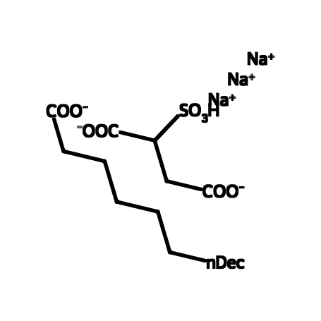 CCCCCCCCCCCCCCCC(=O)[O-].O=C([O-])CC(C(=O)[O-])S(=O)(=O)O.[Na+].[Na+].[Na+]